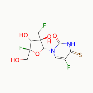 O=c1[nH]c(=S)c(F)cn1[C@@H]1O[C@](F)(CO)C(O)[C@]1(O)CF